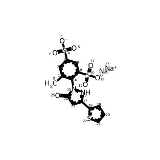 Cc1cc(S(=O)(=O)[O-])cc(S(=O)(=O)[O-])c1-n1[nH]c(-c2cccs2)cc1=O.[Na+].[Na+]